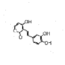 O=c1occc(O)c1C=Cc1ccc(O)c(O)c1